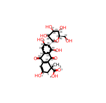 CC1(C(=O)O)CC(O)=CC2=C1C(=O)c1c(cc(O)c([C@H]3O[C@H](CO)[C@@H](O)[C@H](O)[C@H]3O)c1O)C2=O